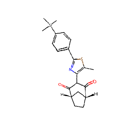 Cc1sc(-c2ccc([Si](C)(C)C)cc2)nc1C1C(=O)[C@@H]2CC[C@@H](C2)C1=O